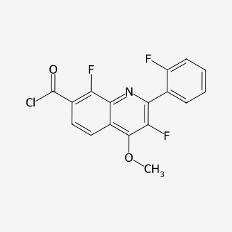 COc1c(F)c(-c2ccccc2F)nc2c(F)c(C(=O)Cl)ccc12